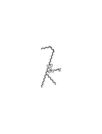 CCCCC/C=C\C/C=C\CCCCCCCC(=O)OCCC(CC(CCCCCCCC)CCCCCCCC)OC(=O)OCCCN(C)C